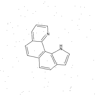 c1cnc2c(c1)ccc1ccc3cc[nH]c3c12